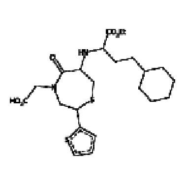 CCOC(=O)C(CCC1CCCCC1)NC1CSC(c2cccs2)CN(CC(=O)O)C1=O